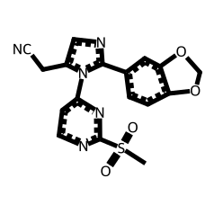 CS(=O)(=O)c1nccc(-n2c(CC#N)cnc2-c2ccc3c(c2)OCO3)n1